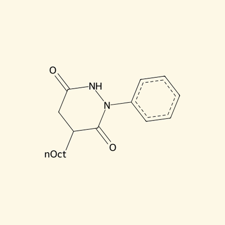 CCCCCCCCC1CC(=O)NN(c2ccccc2)C1=O